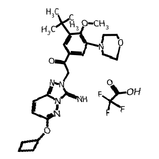 COc1c(N2CCOCC2)cc(C(=O)Cn2nc3ccc(OC4CCC4)nn3c2=N)cc1C(C)(C)C.O=C(O)C(F)(F)F